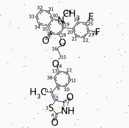 C/C(=C1\SC(=O)NC1=O)c1cccc(OCCOc2c(-c3ccc(F)c(F)c3)n(C)c3ccccc3c2=O)c1